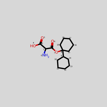 NC(C(=O)O)C(=O)OC1(C2CCCCC2)CCCCC1